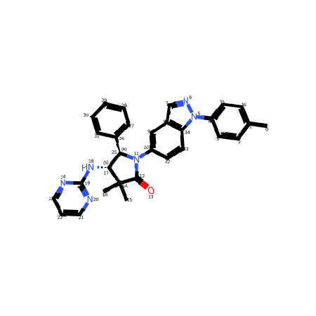 Cc1ccc(-n2ncc3cc(N4C(=O)C(C)(C)[C@H](Nc5ncccn5)[C@H]4c4ccccc4)ccc32)cc1